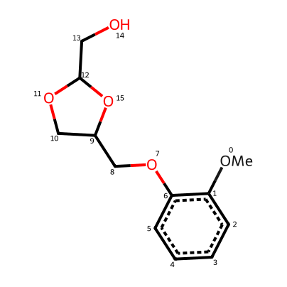 COc1ccccc1OCC1COC(CO)O1